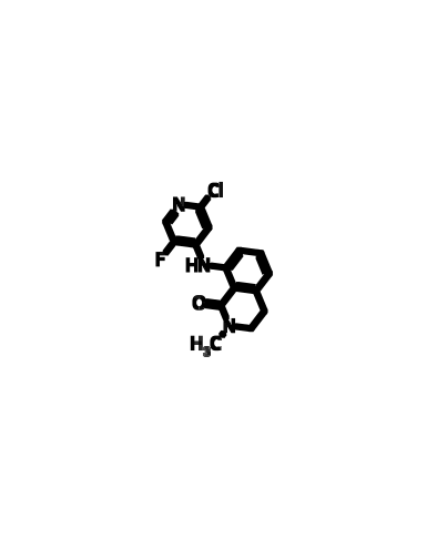 CN1CCc2cccc(Nc3cc(Cl)ncc3F)c2C1=O